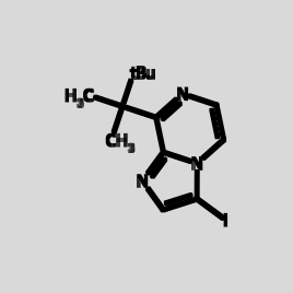 CC(C)(C)C(C)(C)c1nccn2c(I)cnc12